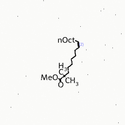 CCCCCCCC/C=C\CCCCCCC(C)(C)C(=O)OC